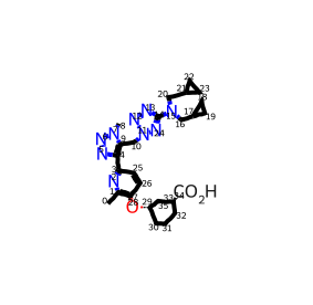 Cc1nc(-c2nnn(C)c2Cn2nnc(N(CC3CC3)CC3CC3)n2)ccc1O[C@H]1CCC[C@H](C(=O)O)C1